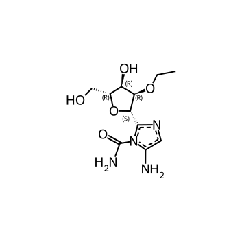 CCO[C@@H]1[C@H](O)[C@@H](CO)O[C@H]1c1ncc(N)n1C(N)=O